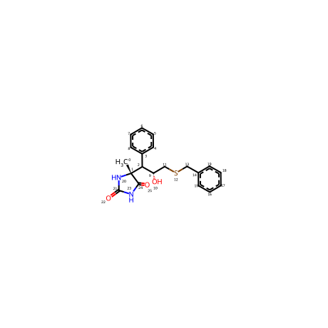 C[C@]1(C(c2ccccc2)[C@@H](O)CSCc2ccccc2)NC(=O)NC1=O